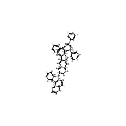 c1ccc(-c2nc(-c3ccccc3)nc(-c3ccccc3-n3c4ccccc4c4cc5cc(-n6c7ccccc7c7c8ccccc8ccc76)ccc5cc43)n2)cc1